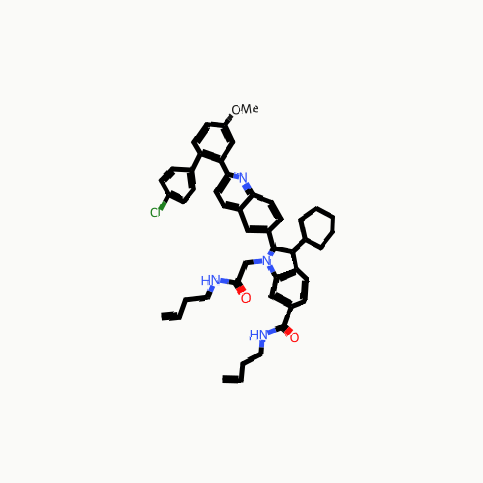 C=CCCNC(=O)CN1c2cc(C(=O)NCCC=C)ccc2C(C2CCCCC2)C1c1ccc2nc(-c3cc(OC)ccc3-c3ccc(Cl)cc3)ccc2c1